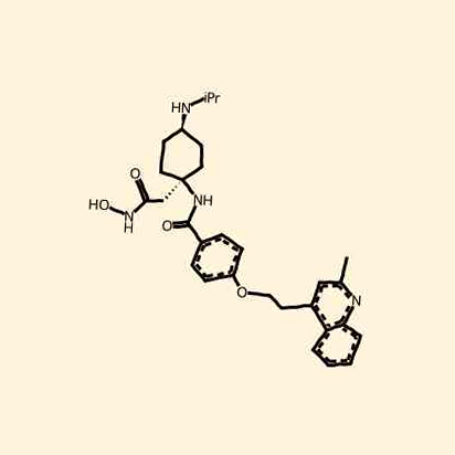 Cc1cc(CCOc2ccc(C(=O)N[C@]3(CC(=O)NO)CC[C@H](NC(C)C)CC3)cc2)c2ccccc2n1